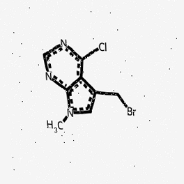 Cn1cc(CBr)c2c(Cl)ncnc21